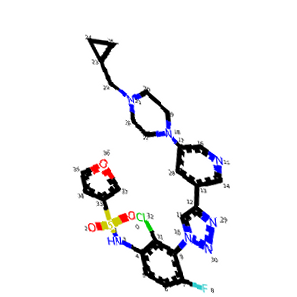 O=S(=O)(Nc1ccc(F)c(-n2cc(-c3cncc(N4CCN(CC5CC5)CC4)c3)nn2)c1Cl)c1ccoc1